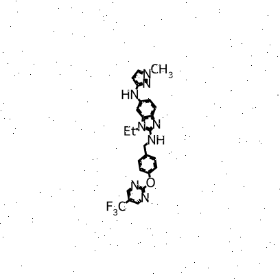 CCn1c(NCc2ccc(Oc3ncc(C(F)(F)F)cn3)cc2)nc2ccc(Nc3ccn(C)n3)cc21